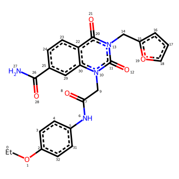 CCOc1ccc(NC(=O)Cn2c(=O)n(Cc3ccco3)c(=O)c3ccc(C(N)=O)cc32)cc1